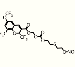 Cc1cc(OC(F)(F)F)cc2c1O[C@H](C(F)(F)F)C(C(=O)OCOC(=O)OCCSCCO[N+](=O)[O-])=C2